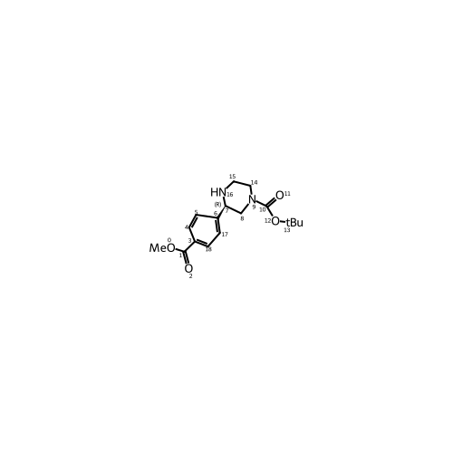 COC(=O)c1ccc([C@@H]2CN(C(=O)OC(C)(C)C)CCN2)cc1